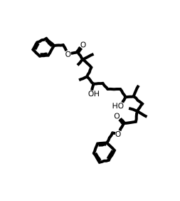 CC(CC(C)(C)CC(=O)OCc1ccccc1)C(O)CCCC(O)C(C)CC(C)(C)C(=O)OCc1ccccc1